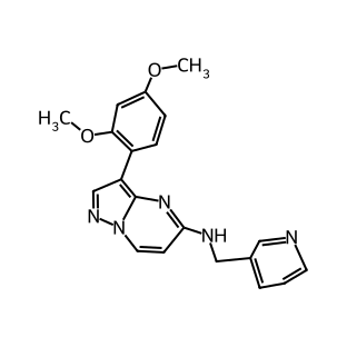 COc1ccc(-c2cnn3ccc(NCc4cccnc4)nc23)c(OC)c1